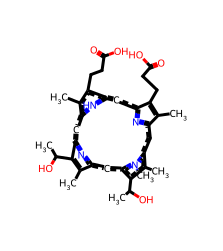 CC1=C(CCC(=O)O)c2cc3[nH]c(cc4nc(cc5c(C(C)O)c(C)c(cc1n2)n5C)C(C)=C4C(C)O)c(C)c3CCC(=O)O